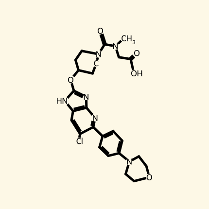 CN(CC(=O)O)C(=O)N1CCC(Oc2nc3nc(-c4ccc(N5CCOCC5)cc4)c(Cl)cc3[nH]2)CC1